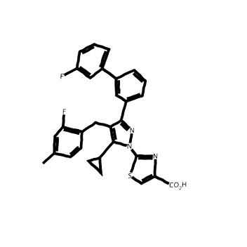 Cc1ccc(Cc2c(-c3cccc(-c4cccc(F)c4)c3)nn(-c3nc(C(=O)O)cs3)c2C2CC2)c(F)c1